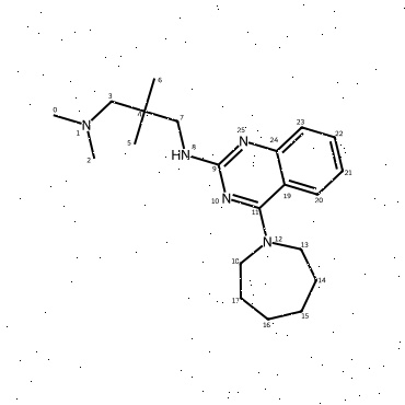 CN(C)CC(C)(C)CNc1nc(N2CCCCCC2)c2ccccc2n1